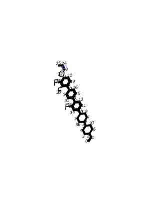 C=CC1CCC(C2CCC(c3ccc(-c4ccc(-c5ccc(O/C=C\C)c(F)c5F)cc4)c(F)c3)CC2)CC1